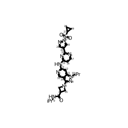 CC(C)NC(=O)C1CN(c2nn(C(C)C)c3cc(Nc4ccnc(-c5cnn(S(=O)(=O)C6CC6)c5)n4)ncc23)C1